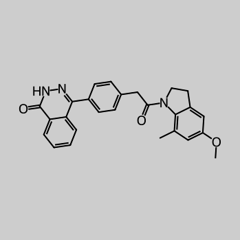 COc1cc(C)c2c(c1)CCN2C(=O)Cc1ccc(-c2n[nH]c(=O)c3ccccc23)cc1